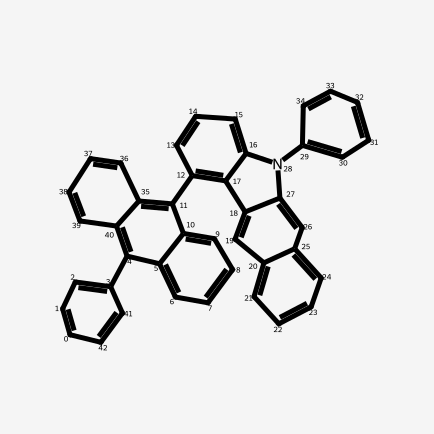 c1ccc(-c2c3ccccc3c(-c3cccc4c3c3cc5ccccc5cc3n4-c3ccccc3)c3ccccc23)cc1